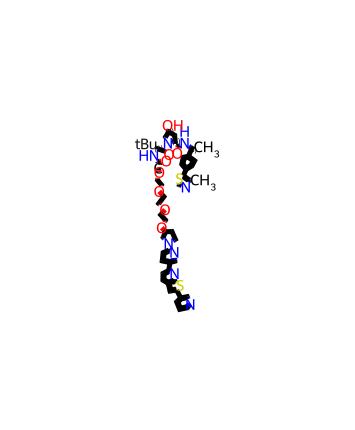 Cc1ncsc1-c1ccc([C@H](C)NC(=O)[C@@H]2C[C@@H](O)CN2C(=O)[C@@H](NC(=O)COCCOCCOCCOC2CCN(c3ccc(-c4ccc5cc(-c6cccnc6)sc5n4)cn3)C2)C(C)(C)C)cc1